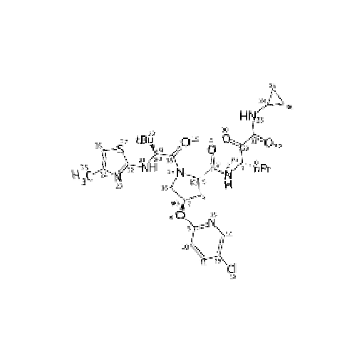 CCC[C@H](NC(=O)[C@@H]1C[C@@H](Oc2ccc(Cl)cn2)CN1C(=O)[C@@H](Nc1nc(C)cs1)C(C)(C)C)C(=O)C(=O)NC1CC1